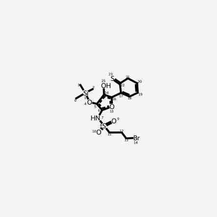 C[Si](C)(C)Oc1c(NS(=O)(=O)CCCBr)oc(C2=CC=CCC2=S)c1O